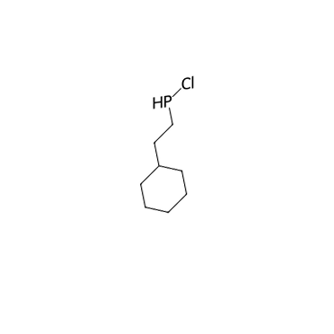 ClPCCC1CCCCC1